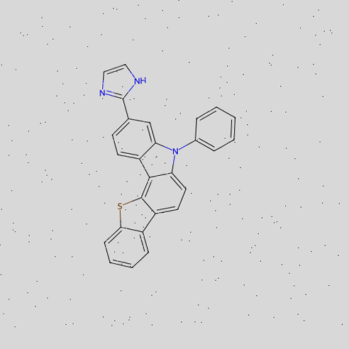 c1ccc(-n2c3cc(-c4ncc[nH]4)ccc3c3c4sc5ccccc5c4ccc32)cc1